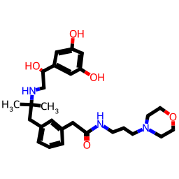 CC(C)(Cc1cccc(CC(=O)NCCCN2CCOCC2)c1)NCC(O)c1cc(O)cc(O)c1